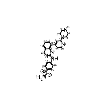 CN1CCN(c2cc(-c3cccc4cnc(Nc5ccc(S(N)(=O)=O)cc5)nc34)ccn2)CC1